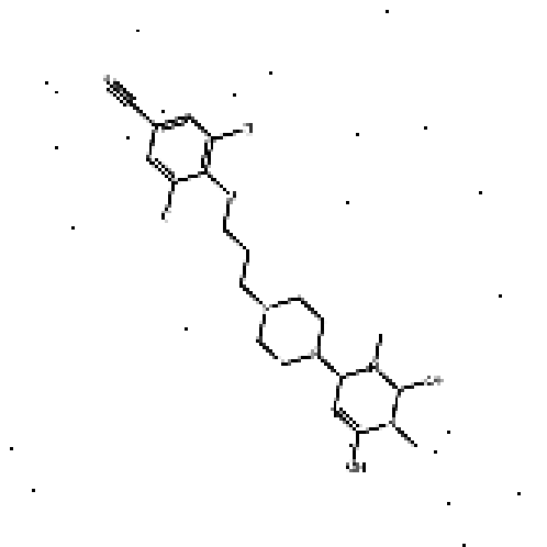 CN1C(O)=CC(N2CCN(CCCOc3c(Cl)cc(C#N)cc3Cl)CC2)N(C)C1O